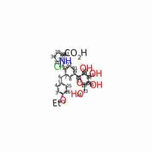 CCOc1ccc(Cc2cc([C@@H]3O[C@H](CO)[C@@H](O)[C@H](O)[C@H]3O)ccc2Cl)cc1.O=C(O)[C@@H]1CCCN1